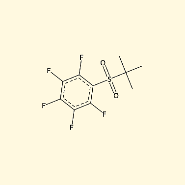 CC(C)(C)S(=O)(=O)c1c(F)c(F)c(F)c(F)c1F